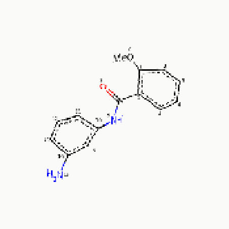 COc1ccccc1C(=O)Nc1cccc(N)c1